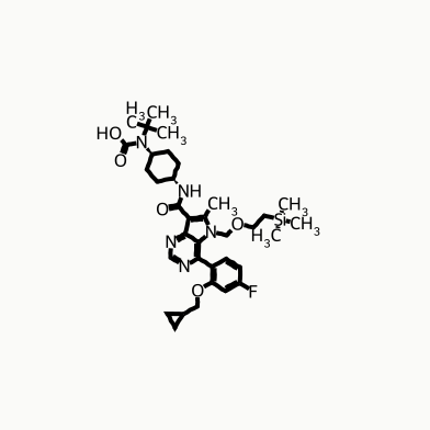 Cc1c(C(=O)N[C@H]2CC[C@H](N(C(=O)O)C(C)(C)C)CC2)c2ncnc(-c3ccc(F)cc3OCC3CC3)c2n1COCC[Si](C)(C)C